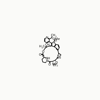 CCO[C@@H]1C2=NC(CS2)c2ccc3c(c2)c(c(-c2cccnc2[C@H](C)OC)n3CC)CC(C)(C)COC(=O)[C@@H]2CCCN(N2)C(=O)[C@H]1N